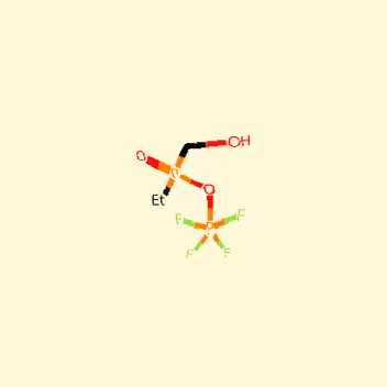 CCP(=O)(CO)OP(F)(F)(F)F